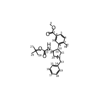 COC(=O)c1ccc(F)c([C@H]2CN(Cc3ccccc3)C[C@@H]2NC(=O)OC(C)(C)C)c1